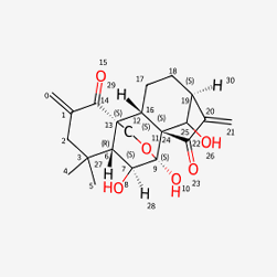 C=C1CC(C)(C)[C@H]2[C@H](O)[C@@]3(O)OC[C@]2(C1=O)[C@@H]1CC[C@H]2C(=C)C(=O)[C@]13C2O